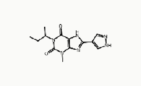 CCC(C)n1c(=O)c2[nH]c(-c3cn[nH]c3)nc2n(C)c1=O